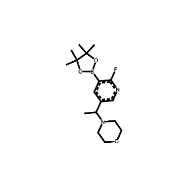 CC(c1cnc(F)c(B2OC(C)(C)C(C)(C)O2)c1)N1CCOCC1